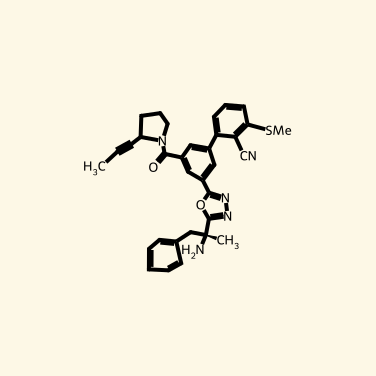 CC#CC1CCCN1C(=O)c1cc(-c2nnc([C@](C)(N)Cc3ccccc3)o2)cc(-c2cccc(SC)c2C#N)c1